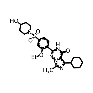 CCOc1cc(S(=O)(=O)N2CCC(O)CC2)ccc1-c1nn2c(C)nc(C3CCCCC3)c2c(=O)[nH]1